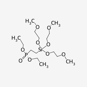 CCOP(=O)(CC[Si](OCCOC)(OCCOC)OCCOC)OCC